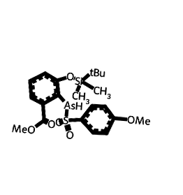 COC(=O)c1cccc(O[Si](C)(C)C(C)(C)C)c1[AsH]S(=O)(=O)c1ccc(OC)cc1